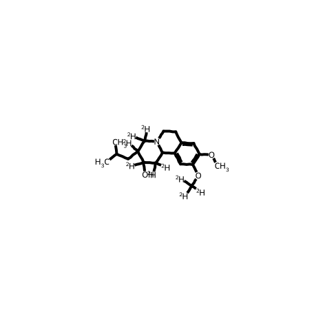 [2H]C([2H])([2H])Oc1cc2c(cc1OC)CCN1C2C([2H])([2H])C([2H])(O)C([2H])(CC(C)C)C1([2H])[2H]